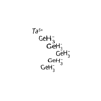 [GeH3-].[GeH3-].[GeH3-].[GeH3-].[GeH3-].[Ta+5]